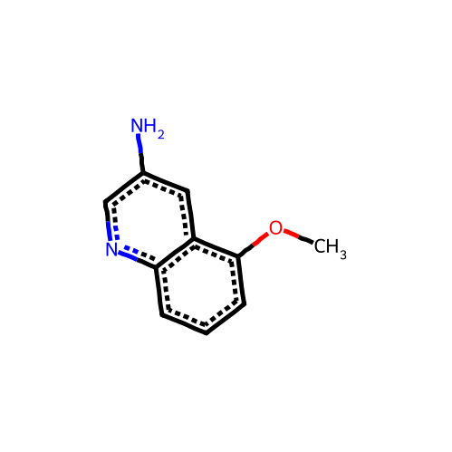 COc1cccc2ncc(N)cc12